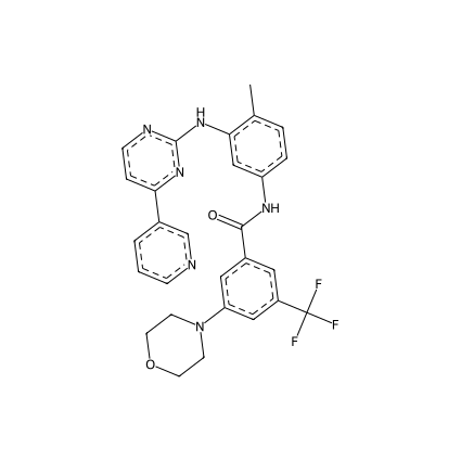 Cc1ccc(NC(=O)c2cc(N3CCOCC3)cc(C(F)(F)F)c2)cc1Nc1nccc(-c2cccnc2)n1